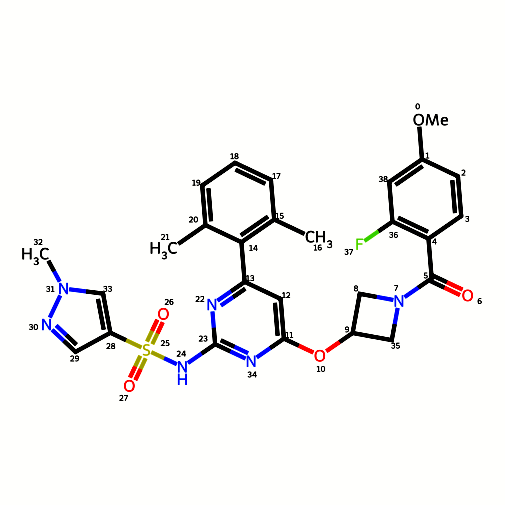 COc1ccc(C(=O)N2CC(Oc3cc(-c4c(C)cccc4C)nc(NS(=O)(=O)c4cnn(C)c4)n3)C2)c(F)c1